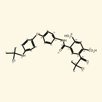 CCC(C)(C)Nc1ccc(Oc2ccc(NC(=O)c3cc(C(=O)C(C)(C)CC)c(C(=O)O)cc3C(=O)O)cc2)cc1